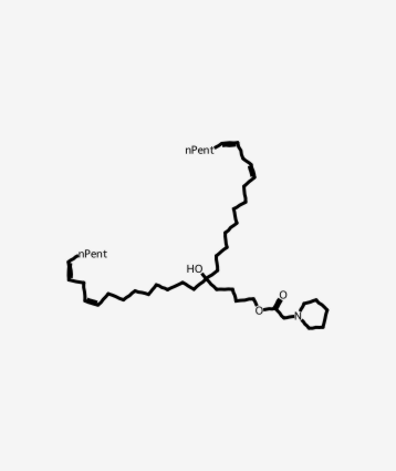 CCCCC/C=C\C/C=C\CCCCCCCCC(O)(CCCCCCCC/C=C\C/C=C\CCCCC)CCCCOC(=O)CN1CCCCC1